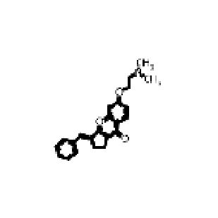 CN(C)CCOc1ccc2c(=O)c3c(oc2c1)C(=Cc1ccccc1)CC3